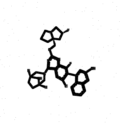 Oc1cc(-c2c(Cl)cc3c(N4C[C@H]5CC[C@@H](C4)N5)nc(OC[C@]45CCCN4C[C@H](F)C5)nc3c2F)c2ccccc2c1